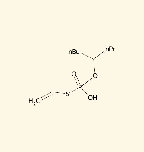 C=CSP(=O)(O)OC(CCC)CCCC